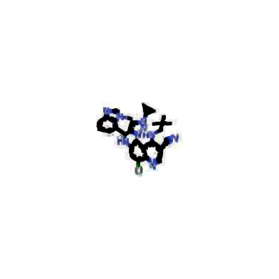 Cn1cnc2cccc([C@H](Nc3cc(Cl)c4ncc(C#N)c(NCC(C)(C)C)c4c3)c3cn(C4CC4)nn3)c21